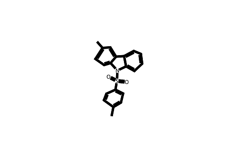 Cc1ccc(S(=O)(=O)n2c3ccccc3c3cc(C)ccc32)cc1